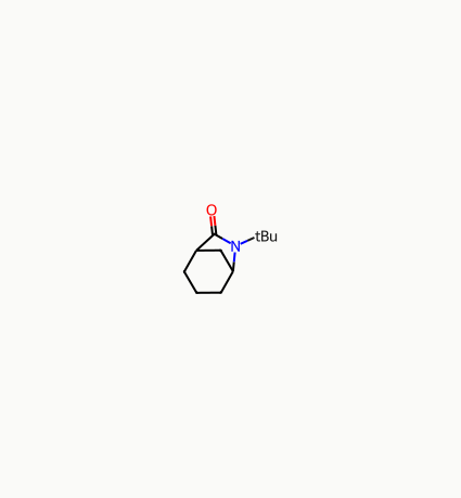 CC(C)(C)N1C(=O)C2CCCC1C2